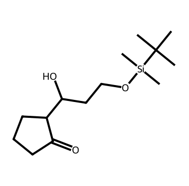 CC(C)(C)[Si](C)(C)OCCC(O)C1CCCC1=O